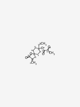 C=C1CC2(CCC(CC)(OC(=O)C(C)=O)CC2)OC1=O